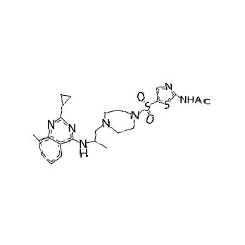 CC(=O)Nc1ncc(S(=O)(=O)N2CCN(CC(C)Nc3nc(C4CC4)nc4c(C)cccc34)CC2)s1